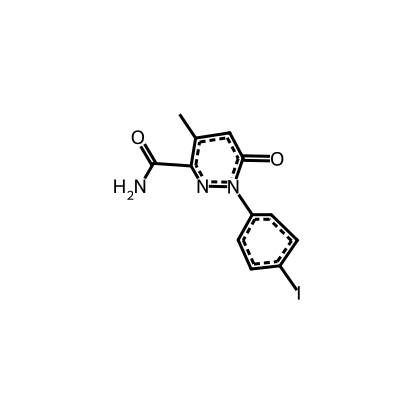 Cc1cc(=O)n(-c2ccc(I)cc2)nc1C(N)=O